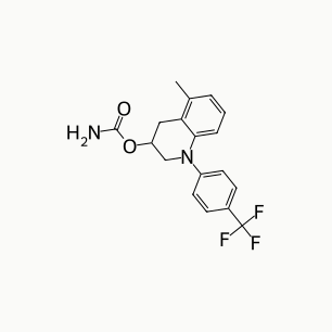 Cc1cccc2c1CC(OC(N)=O)CN2c1ccc(C(F)(F)F)cc1